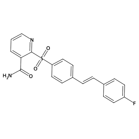 NC(=O)c1cccnc1S(=O)(=O)c1ccc(/C=C/c2ccc(F)cc2)cc1